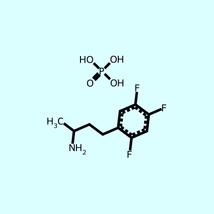 CC(N)CCc1cc(F)c(F)cc1F.O=P(O)(O)O